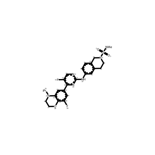 CNS(=O)(=O)N1CCc2cc(Nc3ncc(F)c(-c4cc(F)c5c(c4)N(C(C)C)CCO5)n3)ccc2C1